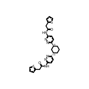 O=C(Cc1cccs1)Nc1ccc([C@H]2CCC[C@H](c3ccc(NC(=O)Cc4cccs4)nn3)C2)nn1